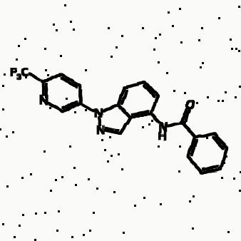 O=C(Nc1cccc2c1cnn2-c1ccc(C(F)(F)F)nc1)c1ccccc1